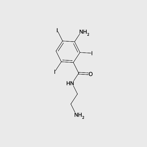 NCCNC(=O)c1c(I)cc(I)c(N)c1I